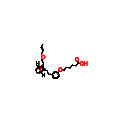 CC=CCOCC[C@@H]1[C@H](CCc2cccc(OCCCCCC(=O)O)c2)[C@@H]2CC[C@H]1O2